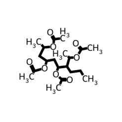 CCCC(C(C)OC(C)=O)C(CC(CC(C)OC(C)=O)OC(C)=O)OC(C)=O